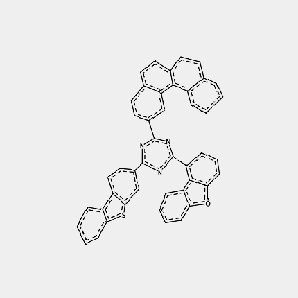 c1ccc2c(c1)ccc1ccc3ccc(-c4nc(-c5ccc6c(c5)sc5ccccc56)nc(-c5cccc6oc7ccccc7c56)n4)cc3c12